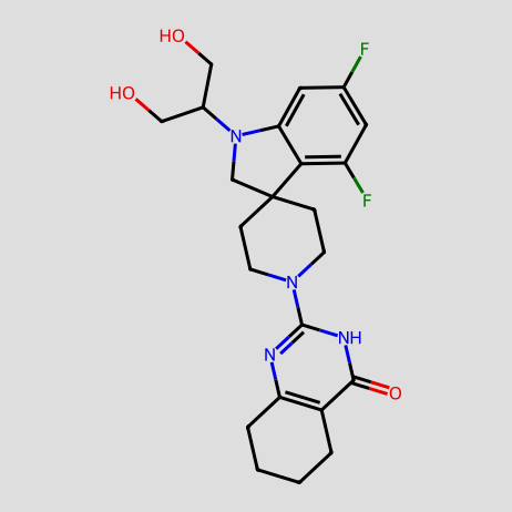 O=c1[nH]c(N2CCC3(CC2)CN(C(CO)CO)c2cc(F)cc(F)c23)nc2c1CCCC2